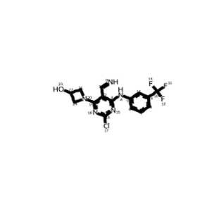 N=Cc1c(Nc2cccc(C(F)(F)F)c2)nc(Cl)nc1N1CC(O)C1